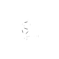 CC1=CN(C)c2ccc(C3(C(=O)O)CC3)cc2CC1